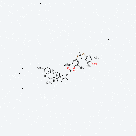 CC(=O)O[C@@H]1CC[C@@]2(C)[C@H](C1)C[C@@H](OC(C)=O)[C@@H]1[C@@H]2CC[C@]2(C)[C@@H]([C@H](C)CCC(=O)Oc3c(C(C)(C)C)cc(SC(C)(C)Sc4cc(C(C)(C)C)c(O)c(C(C)(C)C)c4)cc3C(C)(C)C)CC[C@@H]12